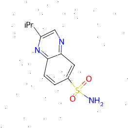 CC(C)c1cnc2cc(S(N)(=O)=O)ccc2n1